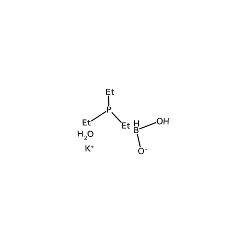 CCP(CC)CC.O.[K+].[O-]BO